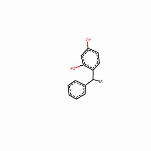 CCC(c1ccccc1)c1ccc(O)cc1O